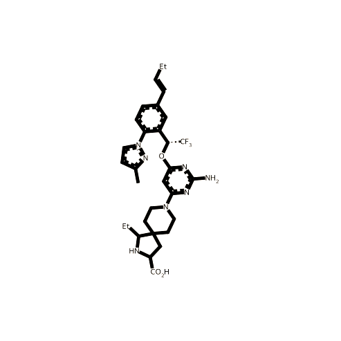 CC/C=C/c1ccc(-n2ccc(C)n2)c([C@@H](Oc2cc(N3CCC4(CC3)CC(C(=O)O)NC4CC)nc(N)n2)C(F)(F)F)c1